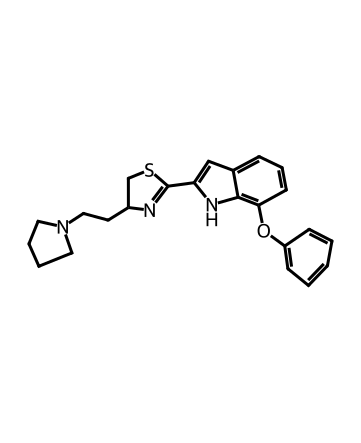 c1ccc(Oc2cccc3cc(C4=NC(CCN5CCCC5)CS4)[nH]c23)cc1